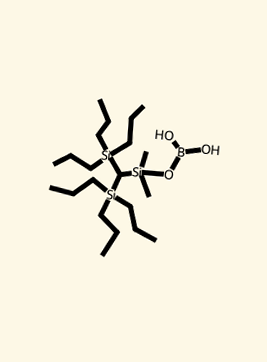 CCC[Si](CCC)(CCC)C([Si](CCC)(CCC)CCC)[Si](C)(C)OB(O)O